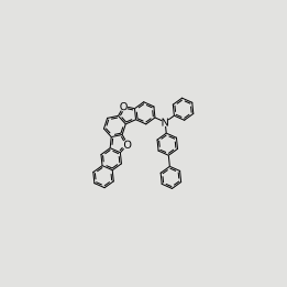 c1ccc(-c2ccc(N(c3ccccc3)c3ccc4oc5ccc6c7cc8ccccc8cc7oc6c5c4c3)cc2)cc1